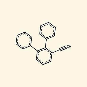 C#Cc1cccc(-c2ccccc2)c1-c1ccccc1